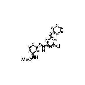 CONc1cccc(SNc2nc(Cl)cc(Oc3ccccc3)n2)c1